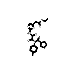 CCOC(=O)Cc1csc(NC(=O)C(=O)N(C(=O)C2CCCC2)c2ccc(C)cc2)n1